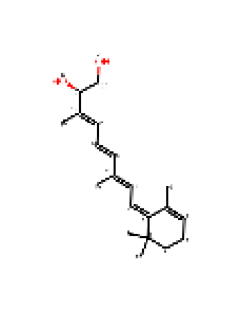 CC1=CCCC(C)(C)/C1=C/C=C(C)/C=C/C=C(\C)[C@@H](O)CO